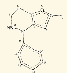 Cc1cc2c(o1)CCNC2c1ccccc1